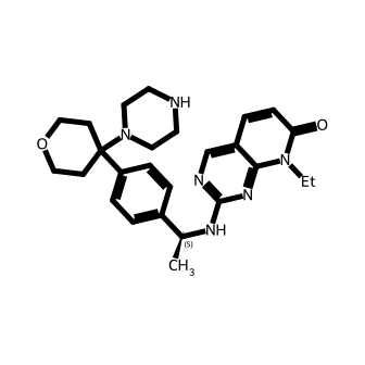 CCn1c(=O)ccc2cnc(N[C@@H](C)c3ccc(C4(N5CCNCC5)CCOCC4)cc3)nc21